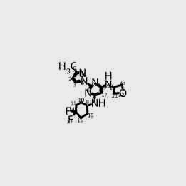 Cc1ccn(-c2nc(NC3CCC(F)(F)CC3)cc(NC3COC3)n2)n1